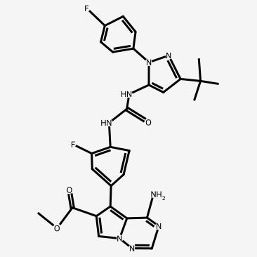 COC(=O)c1cn2ncnc(N)c2c1-c1ccc(NC(=O)Nc2cc(C(C)(C)C)nn2-c2ccc(F)cc2)c(F)c1